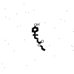 C=CCOC(=O)CCCC(C)(C)c1ccc(O)cc1